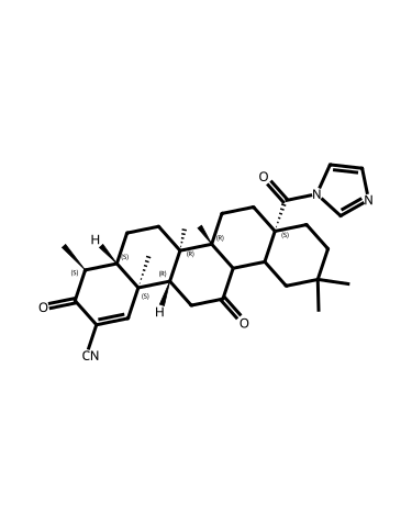 C[C@@H]1C(=O)C(C#N)=C[C@]2(C)[C@H]3CC(=O)C4C5CC(C)(C)CC[C@]5(C(=O)n5ccnc5)CC[C@@]4(C)[C@]3(C)CC[C@@H]12